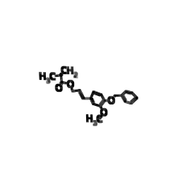 C=C(C)C(=O)OCC=Cc1ccc(OCc2ccccc2)c(OC)c1